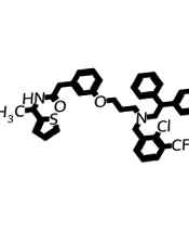 CC(NC(=O)Cc1cccc(OCCCN(Cc2cccc(C(F)(F)F)c2Cl)CC(c2ccccc2)c2ccccc2)c1)c1cccs1